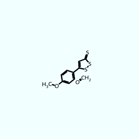 C=O.COc1ccc(-c2cc(=S)ss2)cc1